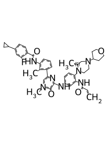 C=CC(=O)Nc1cc(Nc2nc(-c3cccc(NC(=O)c4ccc(C5CC5)cc4F)c3C)cn(C)c2=O)ccc1N1CCN(C2CCOCC2)C[C@@H]1C